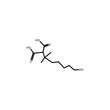 CC(C)(CCCCCO)C(C(=O)O)C(=O)O